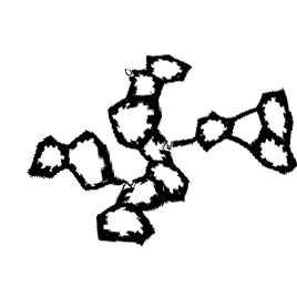 c1ccc2cc(-n3c4ccccc4c4ccc5c(c6ccc7oc8ccccc8c7c6n5-c5ccc6c(c5)-c5cccc7cccc-6c57)c43)ccc2c1